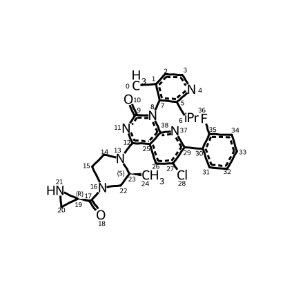 Cc1ccnc(C(C)C)c1-n1c(=O)nc(N2CCN(C(=O)[C@H]3CN3)C[C@@H]2C)c2cc(Cl)c(-c3ccccc3F)nc21